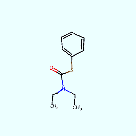 CCN(CC)C(=O)Sc1ccccc1